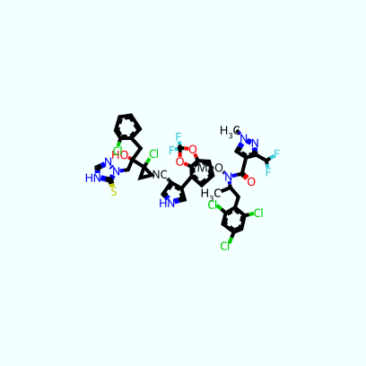 CON(C(=O)c1cn(C)nc1C(F)F)C(C)Cc1c(Cl)cc(Cl)cc1Cl.N#Cc1c[nH]cc1-c1cccc2c1OC(F)(F)O2.OC(Cc1ccccc1Cl)(Cn1nc[nH]c1=S)C1(Cl)CC1